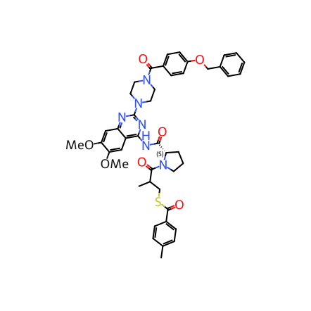 COc1cc2nc(N3CCN(C(=O)c4ccc(OCc5ccccc5)cc4)CC3)nc(NC(=O)[C@@H]3CCCN3C(=O)C(C)CSC(=O)c3ccc(C)cc3)c2cc1OC